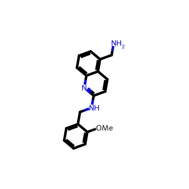 COc1ccccc1CNc1ccc2c(CN)cccc2n1